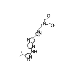 COCCN(CCCn1cc(-c2cnc3ccc(Nc4cc(C(C)C)cnn4)nc3c2)cn1)CCOC